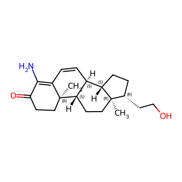 C[C@]12CC[C@H]3[C@@H](C=CC4=C(N)C(=O)CC[C@@]43C)[C@@H]1CC[C@@H]2CCO